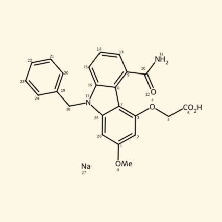 COc1cc(OCC(=O)O)c2c3c(C(N)=O)cccc3n(Cc3ccccc3)c2c1.[Na]